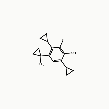 Oc1c(C2CC2)cc(C2(C(F)(F)F)CC2)c(C2CC2)c1F